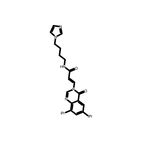 CC(C)c1cc(C(C)C)c2ncn(C=CC(=O)NCCCCn3ccnc3)c(=O)c2c1